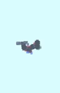 Nc1c(Oc2ccc(CN(C=O)CC(F)(F)F)cc2)ncn(CC2(O)CCN(C(=O)[C@@H]3CCC(F)(F)C[C@H]3c3ccccc3)CC2)c1=O